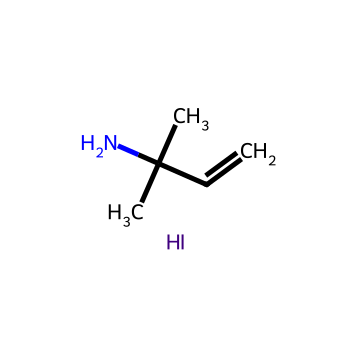 C=CC(C)(C)N.I